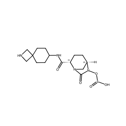 O=C(NC1CCC2(CC1)CNC2)[C@@H]1CC[C@@H]2CN1C(=O)N2OS(=O)O